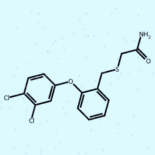 NC(=O)CSCc1ccccc1Oc1ccc(Cl)c(Cl)c1